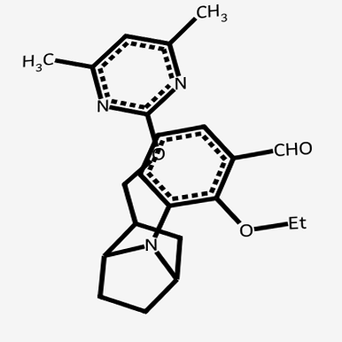 CCOc1c(C=O)cccc1N1C2CCC1C(COc1nc(C)cc(C)n1)C2